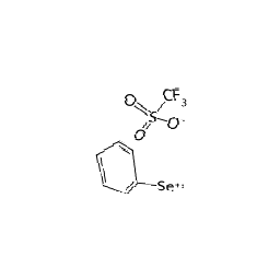 O=S(=O)([O-])C(F)(F)F.[Se+]c1ccccc1